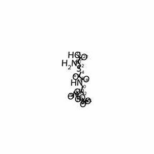 N[C@@H](CSCC(=O)C(=O)NCC(CO[N+](=O)[O-])O[N+](=O)[O-])C(=O)O